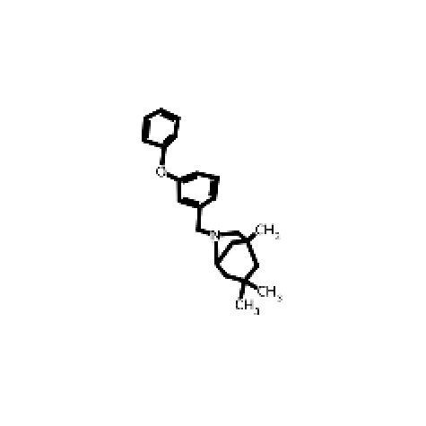 CC1(C)CC2CC(C)(CN2Cc2cccc(Oc3ccccc3)c2)C1